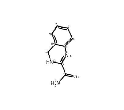 NC(=O)C1=Nc2ccccc2CN1